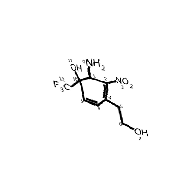 NC1C([N+](=O)[O-])=C(CCO)C=CC1(O)C(F)(F)F